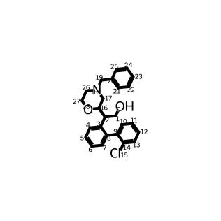 OCC(c1ccccc1-c1ccccc1Cl)C1CN(Cc2ccccc2)CCO1